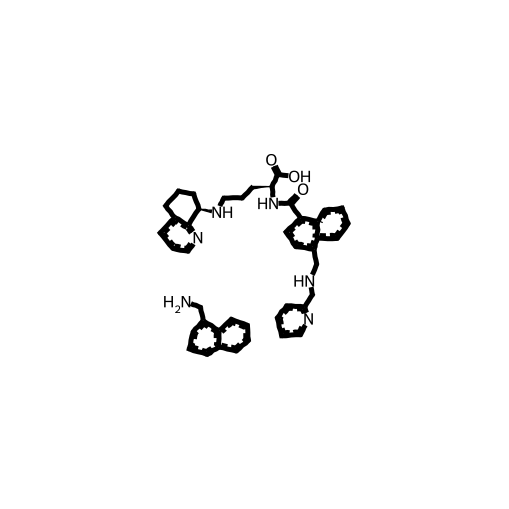 NCc1cccc2ccccc12.O=C(N[C@@H](CCCN[C@@H]1CCCc2cccnc21)C(=O)O)c1ccc(CNCc2ccccn2)c2ccccc12